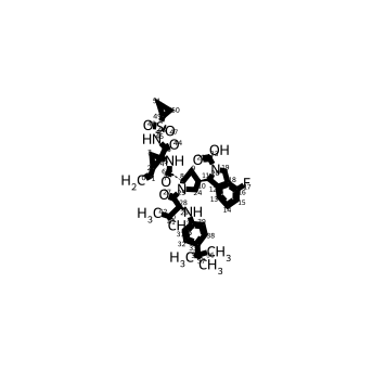 C=CC1CC1(NC(=O)[C@@H]1C[C@@H](C2c3cccc(F)c3CN2C(=O)O)CN1C(=O)[C@@H](Nc1ccc(C(C)(C)C)cc1)C(C)C)C(=O)NS(=O)(=O)C1CC1